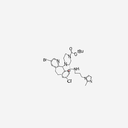 Cc1nccn1CCCNC(=O)[C@H]1CN(C(=O)OC(C)(C)C)CCN1C1c2ccc(Cl)cc2CCc2cc(Br)cnc21